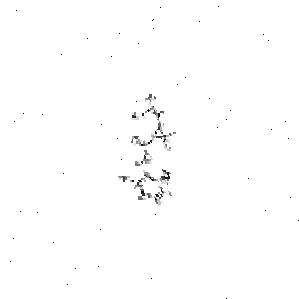 CC1(C)[C@H](C=C(Br)Br)[C@@H]1C(=O)OCc1c(F)cccc1Br